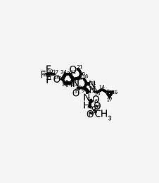 CS(=O)(=O)CC(=O)Nc1c2c(nn1CCC1CC1)C[C@@]1(CCOc3cc(OCC(F)(F)F)ccc31)NC2=O